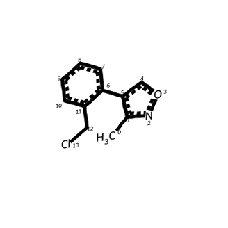 Cc1nocc1-c1ccccc1CCl